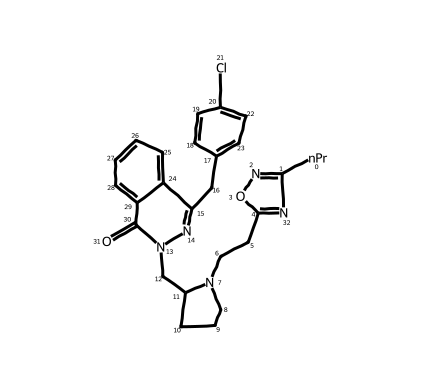 CCCc1noc(CCN2CCCC2Cn2nc(Cc3ccc(Cl)cc3)c3ccccc3c2=O)n1